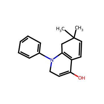 CC1(C)C=CC2=C(C1)N(c1ccccc1)CC=C2O